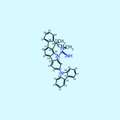 C=NC(=N)n1c2cc(-n3c4ccccc4c4ccccc43)ccc2c2ccc3c(c21)C(C)(C)c1ccccc1-3